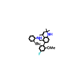 COc1cc(F)ccc1-c1ccc2c(c1CNc1ccccc1C(C)(C)C)C(C)=CC(C)(C)N2